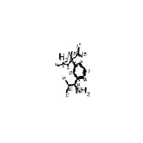 CCCC(N)(c1cccc(C(N)C(C)C)c1)C(C)C